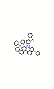 CC1(C)c2ccccc2-c2ccc(N(c3ccc(-c4ccccc4)cc3)c3c4c(c5ccccc5c3-c3ccccc3)C(c3ccccc3)(c3ccccc3)c3ccccc3-4)cc21